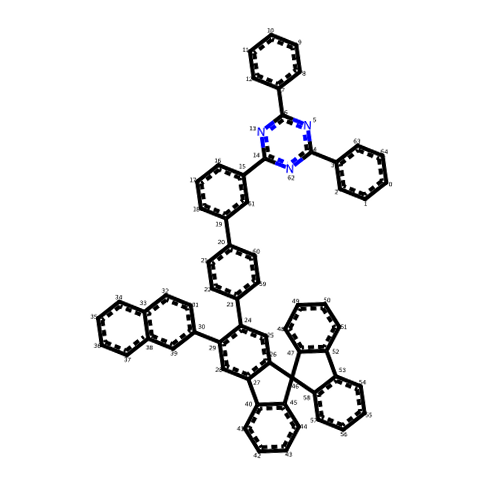 c1ccc(-c2nc(-c3ccccc3)nc(-c3cccc(-c4ccc(-c5cc6c(cc5-c5ccc7ccccc7c5)-c5ccccc5C65c6ccccc6-c6ccccc65)cc4)c3)n2)cc1